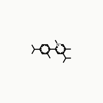 Cc1cc(C(C)C)ccc1-c1cc(C(C)C)c(C)c[n+]1C